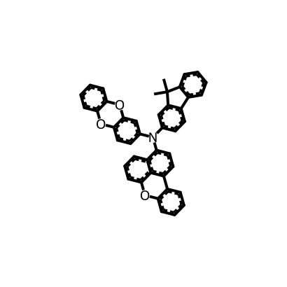 CC1(C)c2ccccc2-c2ccc(N(c3ccc4c(c3)Oc3ccccc3O4)c3ccc4c5c(cccc35)Oc3ccccc3-4)cc21